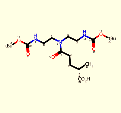 C[C@@H](CCC(=O)N(CCNC(=O)OC(C)(C)C)CCNC(=O)OC(C)(C)C)C(=O)O